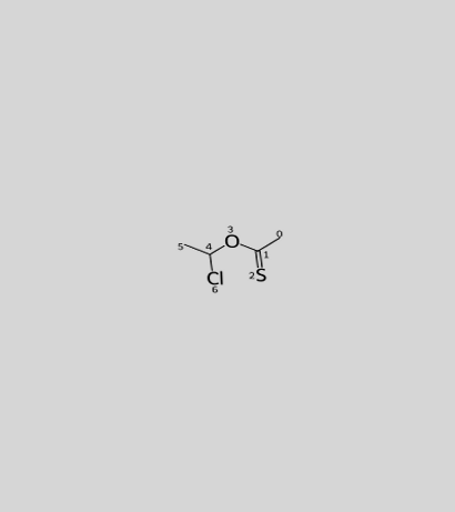 CC(=S)OC(C)Cl